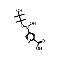 CC(C)(O)C(C)(C)OB(O)c1csc(C(=O)O)c1